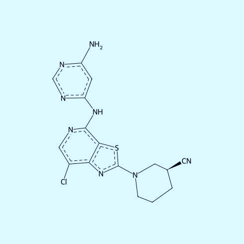 N#C[C@H]1CCCN(c2nc3c(Cl)cnc(Nc4cc(N)ncn4)c3s2)C1